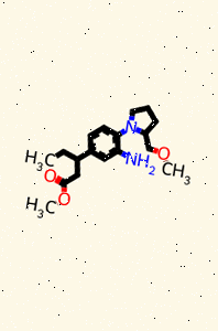 CCC(CC(=O)OC)c1ccc(N2CCCC2COC)c(N)c1